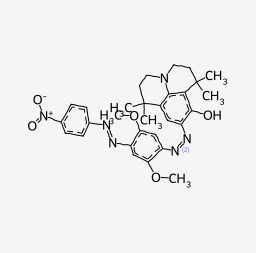 COc1cc(/N=N\c2cc3c4c(c2O)C(C)(C)CCN4CCC3(C)C)c(OC)cc1N=Nc1ccc([N+](=O)[O-])cc1